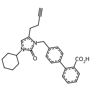 C#CCCc1cn(C2CCCCC2)c(=O)n1Cc1ccc(-c2ccccc2C(=O)O)cc1